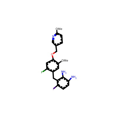 COc1ccc(COc2cc(F)c(Cc3c(I)ccc(N)c3N)cc2OC)cn1